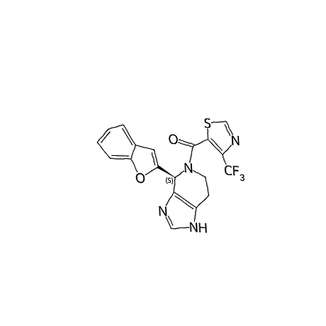 O=C(c1scnc1C(F)(F)F)N1CCc2[nH]cnc2[C@H]1c1cc2ccccc2o1